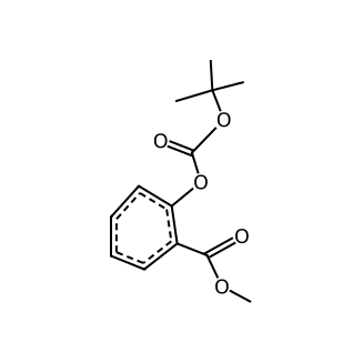 COC(=O)c1ccccc1OC(=O)OC(C)(C)C